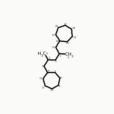 CC(CC(C)CC1CCCCCC1)CC1CCCCCC1